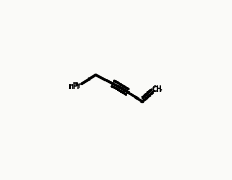 [CH]=CC#CCCCC